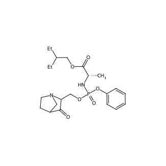 CCC(CC)COC(=O)[C@H](C)NP(=O)(OCC1C(=O)C2CCN1C2)Oc1ccccc1